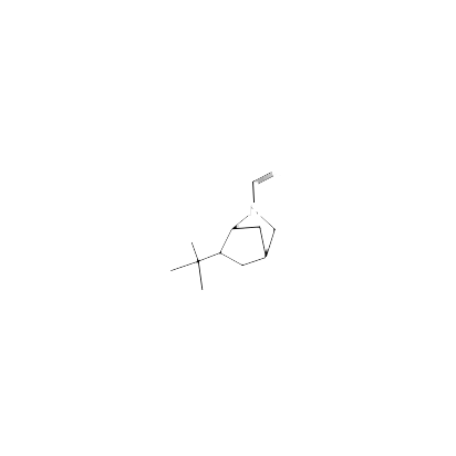 CC(C)(C)C1CC2CC1N(C=O)C2